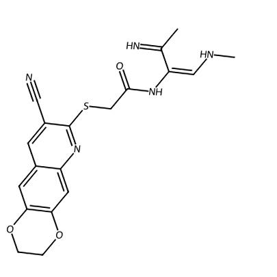 CN/C=C(/NC(=O)CSc1nc2cc3c(cc2cc1C#N)OCCO3)C(C)=N